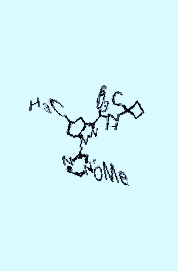 CO[n+]1ccnc(-n2nc(C(=O)NC3(C(F)(F)F)CCC3)c3c2CC(C)C3)c1